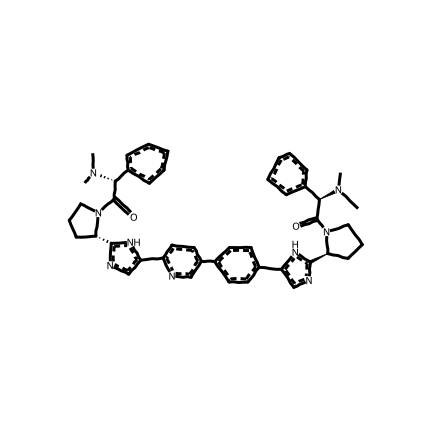 CN(C)[C@@H](C(=O)N1CCC[C@H]1c1ncc(-c2ccc(-c3ccc(-c4cnc([C@@H]5CCCN5C(=O)[C@@H](c5ccccc5)N(C)C)[nH]4)nc3)cc2)[nH]1)c1ccccc1